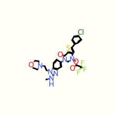 CNc1nc2cc(N3CN(OC(=O)C(F)(F)F)c4cc(-c5ccc(Cl)cc5)sc4C3=O)ccc2n1CCN1CCOCC1